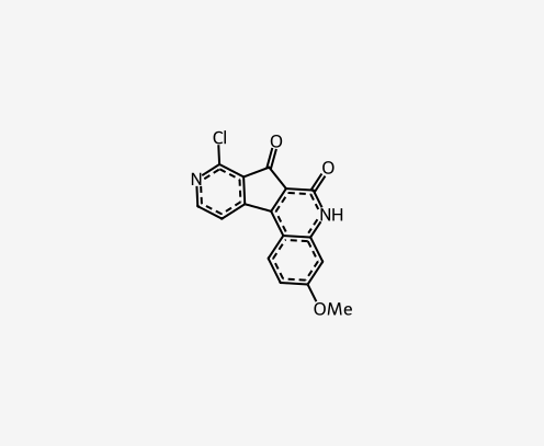 COc1ccc2c3c(c(=O)[nH]c2c1)C(=O)c1c-3ccnc1Cl